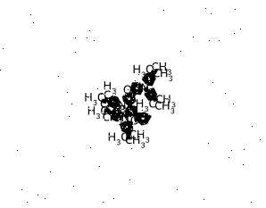 CC(C)(C)c1ccc(N2B3c4cc(C(C)(C)C)ccc4N(c4ccc(C(C)(C)C)cc4)c4c3c(cc3c4oc4ccccc43)-c3cc4c(cc32)oc2ccc(N(c3ccc(C(C)(C)C)cc3)c3ccc(C(C)(C)C)cc3)cc24)cc1